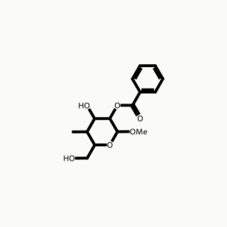 COC1OC(CO)C(C)C(O)C1OC(=O)c1ccccc1